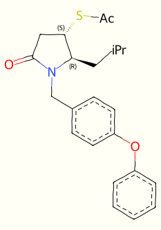 CC(=O)S[C@H]1CC(=O)N(Cc2ccc(Oc3ccccc3)cc2)[C@@H]1CC(C)C